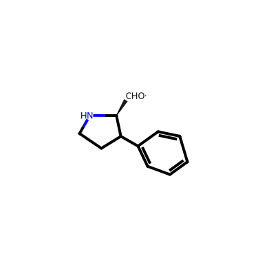 O=[C][C@@H]1NCCC1c1ccccc1